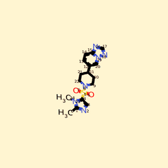 Cc1ncc(S(=O)(=O)N2CCC(c3ccc4ncnn4c3)CC2)n1C